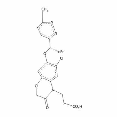 CCC[C@H](Oc1cc2c(cc1Cl)N(CCC(=O)O)C(=O)CO2)c1ccc(C)nn1